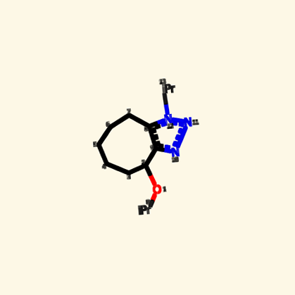 CC(C)OC1CCCCCc2c1nnn2C(C)C